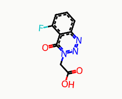 O=C(O)Cn1nnc2cccc(F)c2c1=O